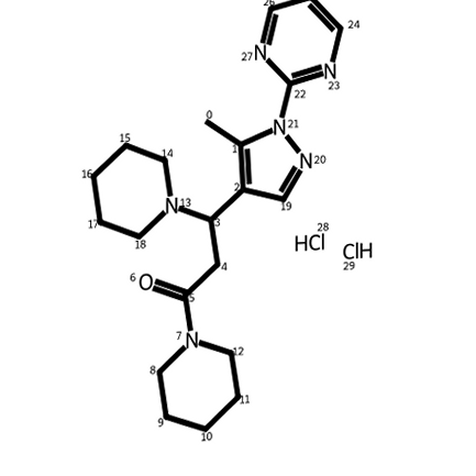 Cc1c(C(CC(=O)N2CCCCC2)N2CCCCC2)cnn1-c1ncccn1.Cl.Cl